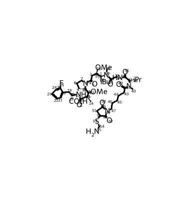 CC[C@H](C)[C@@H]([C@@H](CC(=O)N1CCC[C@H]1[C@H](OC)[C@@H](C)C(=O)N[C@@H](Cc1ccccc1F)C(=O)O)OC)N(C)C(=O)CNC(=O)[C@H](C(C)C)N(C)C(=O)CCCCCN1C(=O)CC(SCN)C1=O